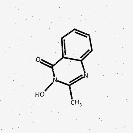 Cc1nc2ccccc2c(=O)n1O